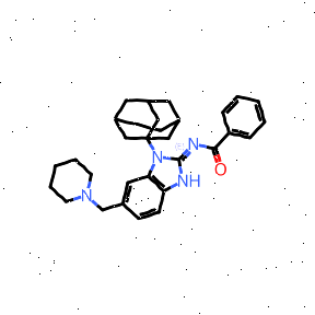 O=C(/N=c1\[nH]c2ccc(CN3CCCCC3)cc2n1C12CC3CC(CC(C3)C1)C2)c1ccccc1